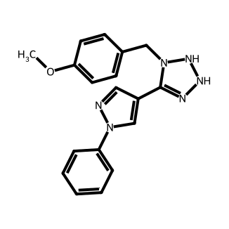 COc1ccc(CN2NNN=C2c2cnn(-c3ccccc3)c2)cc1